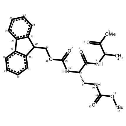 COC(=O)C(C)NC(=O)[C@H](CNC(=O)OC(C)(C)C)NC(=O)OCC1c2ccccc2-c2ccccc21